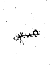 CCC(C)(C)C(=O)OCCCOC1CCCCO1